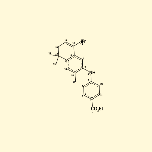 CCOC(=O)c1ccc(Nc2cc3c(cc2C)C(C)(C)CC=C3C(C)C)cc1